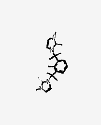 Cc1c(C(C)(C)N2C=CN(C)[C@H]2C)cccc1C(C)(C)N1C=CN(C)[C@@H]1C